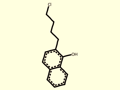 Oc1c(CCCCCl)ccc2ccccc12